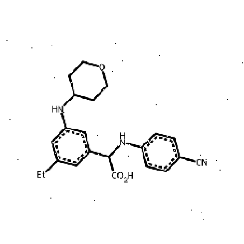 CCc1cc(NC2CCOCC2)cc(C(Nc2ccc(C#N)cc2)C(=O)O)c1